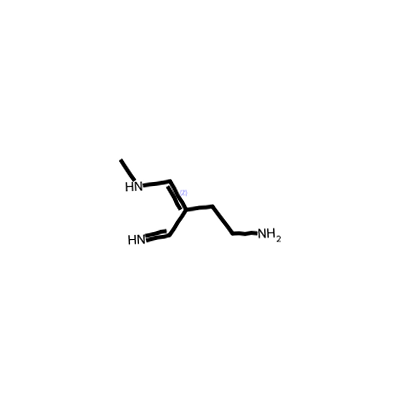 CN/C=C(\C=N)CCN